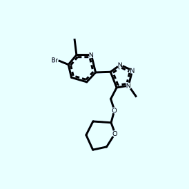 Cc1nc(-c2nnn(C)c2COC2CCCCO2)ccc1Br